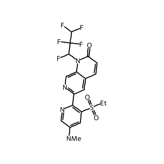 CCS(=O)(=O)c1cc(NC)cnc1-c1cc2ccc(=O)n(C(F)C(F)(F)C(F)F)c2cn1